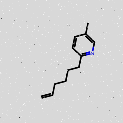 C=CCCCCc1ccc(C)cn1